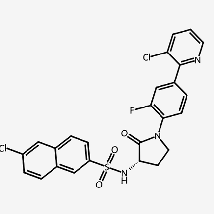 O=C1[C@@H](NS(=O)(=O)c2ccc3cc(Cl)ccc3c2)CCN1c1ccc(-c2ncccc2Cl)cc1F